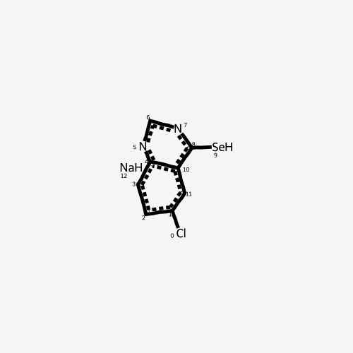 Clc1ccc2ncnc([SeH])c2c1.[NaH]